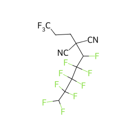 N#CC(C#N)(CCC(F)(F)F)C(F)C(F)(F)C(F)(F)C(F)(F)C(F)F